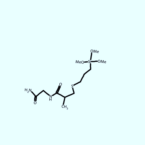 CO[Si](CCCSCC(C)C(=O)NCC(N)=O)(OC)OC